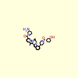 Cc1c(-c2cc3cccc(C4CCN(C(=O)[C@H]5CCC[C@@H](O)C5)CC4)c3n2CC2CC2)nn2cc(C(=O)N3CCC[C@@H](N)C3)ccc12